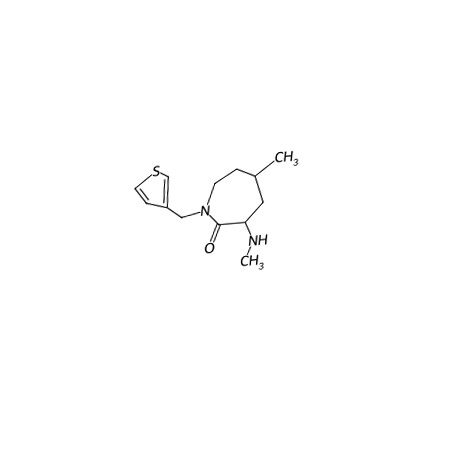 CNC1CC(C)CCN(Cc2ccsc2)C1=O